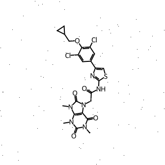 Cn1c(=O)c2c(n(C)c1=O)n(C)c(=O)n2CC(=O)Nc1nc(-c2cc(Cl)c(OCC3CC3)c(Cl)c2)cs1